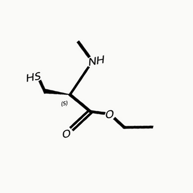 CCOC(=O)[C@@H](CS)NC